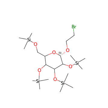 C[Si](C)(C)OCC1O[C@H](OCCBr)C(O[Si](C)(C)C)C(O[Si](C)(C)C)C1O[Si](C)(C)C